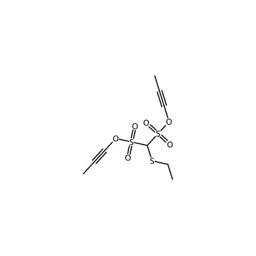 CC#COS(=O)(=O)C(SCC)S(=O)(=O)OC#CC